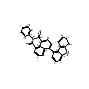 O=C1c2cccc3c(-c4cccc5oc6c(c45)C=CCC6)ccc(c23)C(=O)N1c1ccccc1